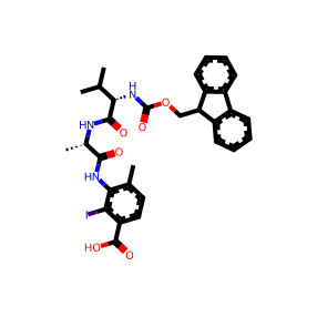 Cc1ccc(C(=O)O)c(I)c1NC(=O)[C@H](C)NC(=O)[C@@H](NC(=O)OCC1c2ccccc2-c2ccccc21)C(C)C